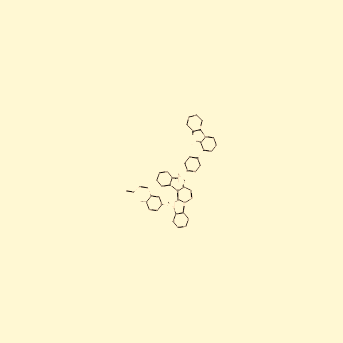 C=C/C=C\c1cc(-n2c3ccccc3c3ccc4c(c5ccccc5n4-c4ccc(-c5cccc6c5oc5ccccc56)cc4)c32)ccc1C